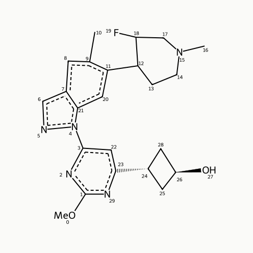 COc1nc(-n2ncc3cc(C)c(C4CCN(C)CC4F)cc32)cc([C@H]2C[C@H](O)C2)n1